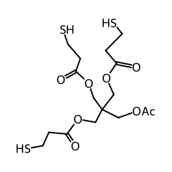 CC(=O)OCC(COC(=O)CCS)(COC(=O)CCS)COC(=O)CCS